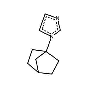 c1cn(C23CCC(CC2)C3)cn1